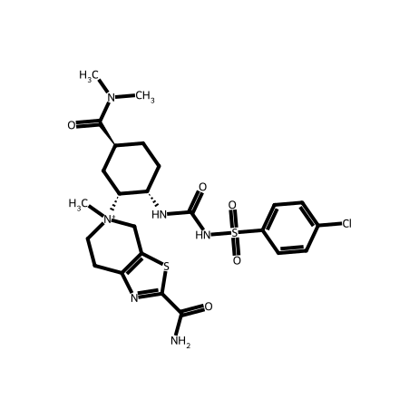 CN(C)C(=O)[C@H]1CC[C@H](NC(=O)NS(=O)(=O)c2ccc(Cl)cc2)[C@H]([N+]2(C)CCc3nc(C(N)=O)sc3C2)C1